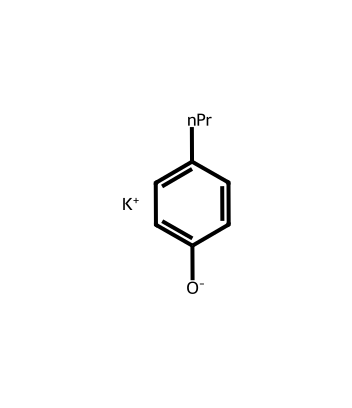 CCCc1ccc([O-])cc1.[K+]